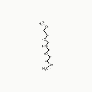 COCCOCNCOCCOC